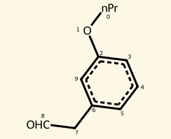 CCCOc1cccc(CC=O)c1